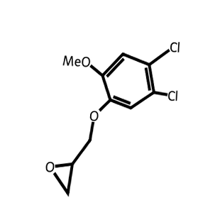 COc1cc(Cl)c(Cl)cc1OCC1CO1